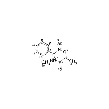 CC(=O)N1OC(C)C(=S)NC1c1ccccc1C